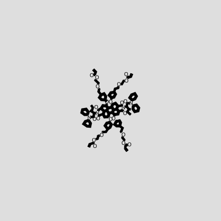 C=CC(=O)OCCOCCc1ccc(Oc2cc3c4c(cc(Oc5ccc(CCOCCOC(=O)C=C)cc5)c5c6c(Oc7ccc(CCOCCOC(=O)C=C)cc7)cc7c8c(cc(Oc9ccc(CCOCCOC(=O)C=C)cc9)c(c2c45)c86)C(=O)N(C(C(=O)N(c2ccccc2)c2ccccc2)C(C)CC)C7=O)C(=O)N(C(C(=O)N(c2ccccc2)c2ccccc2)C(C)CC)C3=O)cc1